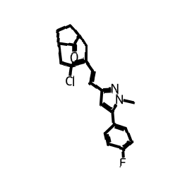 Cn1nc(C=CC2=C(Cl)CC3CCC(C2)C3=O)cc1-c1ccc(F)cc1